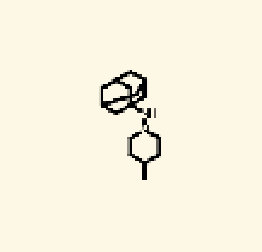 CC1CCN(NC23CC4CC(CC(C4)C2)C3)CC1